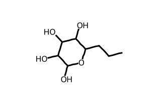 CCCC1OC(O)C(O)C(O)C1O